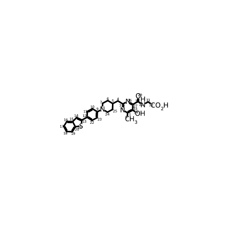 Cc1nc(CC2CCN(c3ccc(-c4cc5ccccc5s4)cc3)CC2)nc(C(=O)NCC(=O)O)c1O